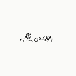 C=CC(CCCc1ccc(OC[C@@H]2COC(C)(C)O2)cc1)N[S+]([O-])C(C)(C)C